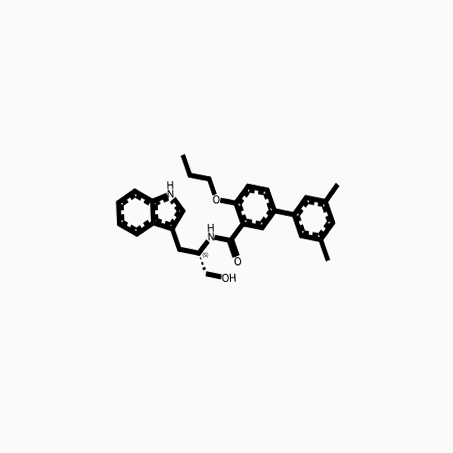 CCCOc1ccc(-c2cc(C)cc(C)c2)cc1C(=O)N[C@H](CO)Cc1c[nH]c2ccccc12